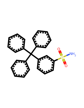 NS(=O)(=O)c1cccc(C(c2ccccc2)(c2ccccc2)c2ccccc2)c1